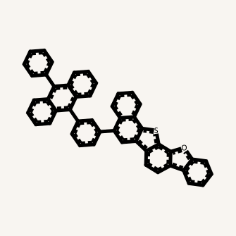 c1ccc(-c2c3ccccc3c(-c3cccc(-c4cc5c6ccc7c8ccccc8oc7c6sc5c5ccccc45)c3)c3ccccc23)cc1